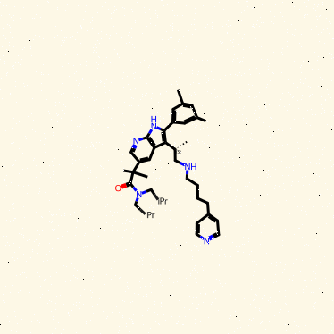 Cc1cc(C)cc(-c2[nH]c3ncc(C(C)(C)C(=O)N(CC(C)C)CC(C)C)cc3c2[C@H](C)CNCCCCc2ccncc2)c1